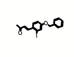 CC(=O)C=Cc1ccc(OCc2ccccc2)cc1I